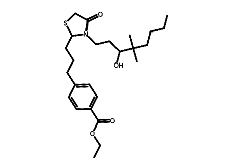 CCCCC(C)(C)C(O)CCN1C(=O)CSC1CCCc1ccc(C(=O)OCC)cc1